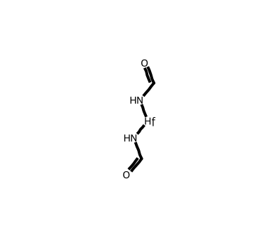 O=C[NH][Hf][NH]C=O